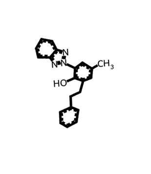 Cc1cc(CCc2ccccc2)c(O)c(-n2nc3ccccc3n2)c1